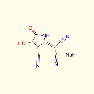 N#CC(C#N)=C1NC(=O)C(O)=C1C#N.[NaH]